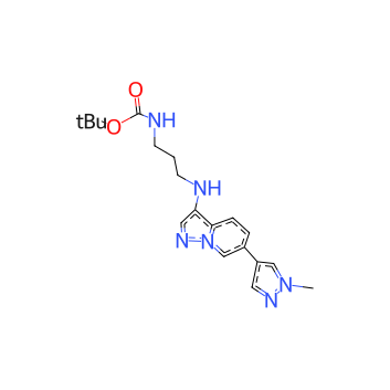 Cn1cc(-c2ccc3c(NCCCNC(=O)OC(C)(C)C)cnn3c2)cn1